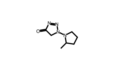 CC1CCCN1N1CC(=O)N=N1